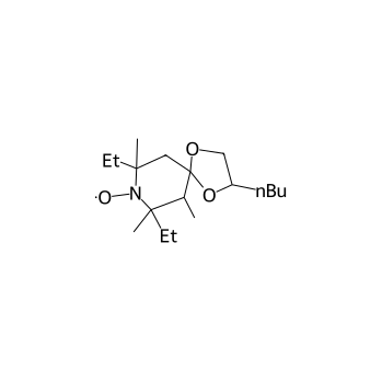 CCCCC1COC2(CC(C)(CC)N([O])C(C)(CC)C2C)O1